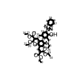 CCOC(=O)C(=Cc1cc(C=C(C(=O)OCC)C(=O)OCC)cc(N(CC)Cc2cc(C)cc(-n3nc4ccccc4n3)c2O)c1)C(=O)OCC